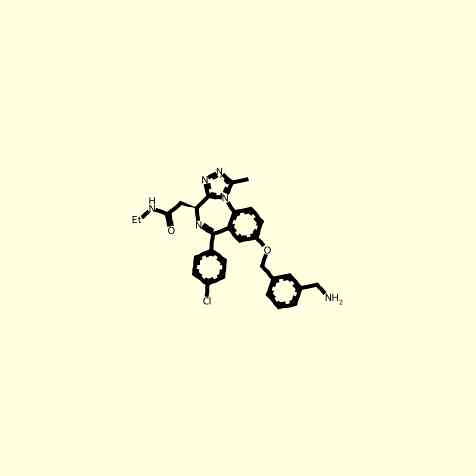 CCNC(=O)C[C@@H]1N=C(c2ccc(Cl)cc2)c2cc(OCc3cccc(CN)c3)ccc2-n2c(C)nnc21